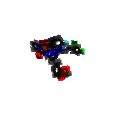 O=C(NCc1cc(-c2ccc3c(c2)OCO3)nc(NCCc2ccc(Cl)cc2Cl)n1)[C@@H]1CCCN1S(=O)(=O)c1ccc(F)cc1